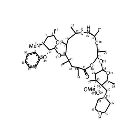 CN[C@H]1C[C@@H](C)O[C@@H](OC2C(C)CC(C)CNC(C)CC(C)C(O[C@@H]3C[C@@](C)(OC)[C@](O)(CN4CCOCC4)[C@H](C)O3)OC(=O)C(C)CC2C)[C@@H]1Oc1ccccc1